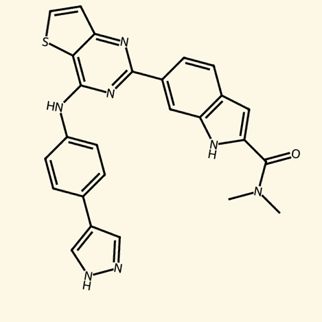 CN(C)C(=O)c1cc2ccc(-c3nc(Nc4ccc(-c5cn[nH]c5)cc4)c4sccc4n3)cc2[nH]1